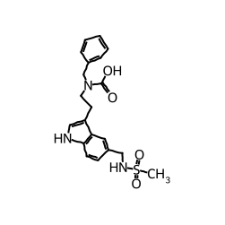 CS(=O)(=O)NCc1ccc2[nH]cc(CCN(Cc3ccccc3)C(=O)O)c2c1